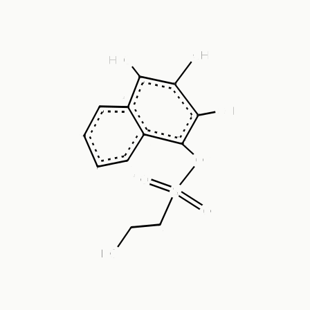 CCCS(=O)(=O)Oc1c(O)c(C)c(C)c2ccccc12